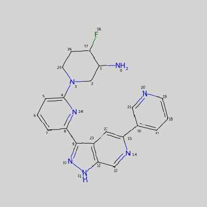 NC1CN(c2cccc(-c3n[nH]c4cnc(-c5cccnc5)cc34)n2)CCC1F